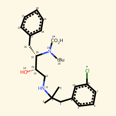 CC(C)(Cc1cccc(Cl)c1)NC[C@H](O)[C@H](Cc1ccccc1)N(C(=O)O)C(C)(C)C